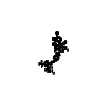 CN1C(=C=O)N(C2CCC(=C=O)NC2=C=O)c2ccc(F)c(NC3CC4(CCN(CCOc5ncc(C(F)(F)F)cc5NC(N)=O)CC4)C3)c21